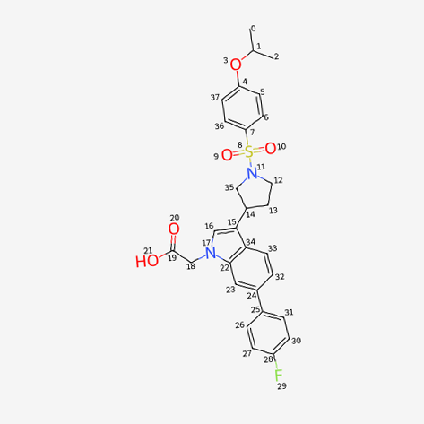 CC(C)Oc1ccc(S(=O)(=O)N2CCC(c3cn(CC(=O)O)c4cc(-c5ccc(F)cc5)ccc34)C2)cc1